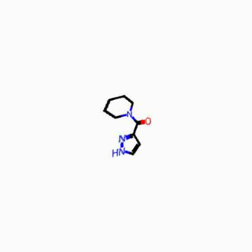 O=C(c1cc[nH]n1)N1CCCCC1